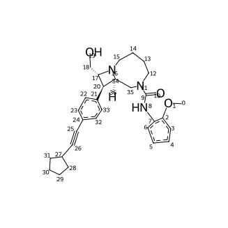 COc1ccccc1NC(=O)N1CCCCN2[C@@H](CO)[C@H](c3ccc(C#CC4CCCC4)cc3)[C@@H]2C1